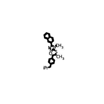 CC(C)Cc1ccc(C(=O)C(C)Sc2nnc(-c3ccc4ccccc4c3)n2C)cc1